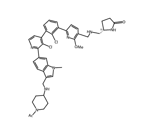 COc1nc(-c2cccc(-c3ccnc(-c4ccc5c(CNC6CCN(C(C)=O)CC6)cn(C)c5c4)c3Cl)c2Cl)ccc1CNC[C@@H]1CCC(=O)N1